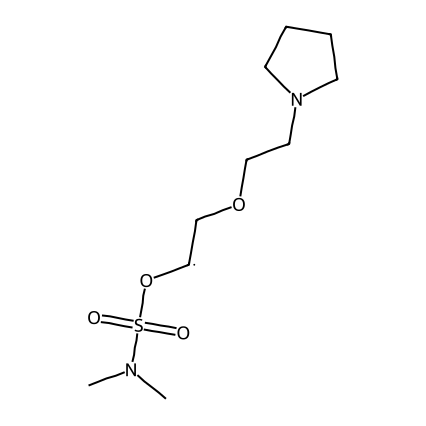 CN(C)S(=O)(=O)O[CH]COCCN1CCCC1